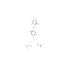 C=C(C)C(=O)OCCN(CCOC(=O)C(=C)C)c1cc(NC(C)=O)c(/N=N/c2c(Br)cc([N+](=O)[O-])cc2[N+](=O)[O-])cc1OC